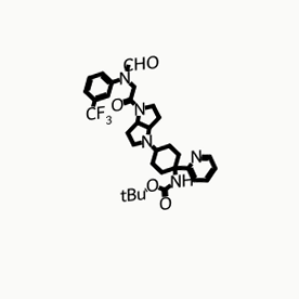 CC(C)(C)OC(=O)NC1(c2ccccn2)CCC(N2CCC3C2CCN3C(=O)CN(C=O)c2cccc(C(F)(F)F)c2)CC1